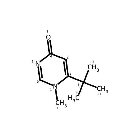 Cn1cnc(=O)cc1C(C)(C)C